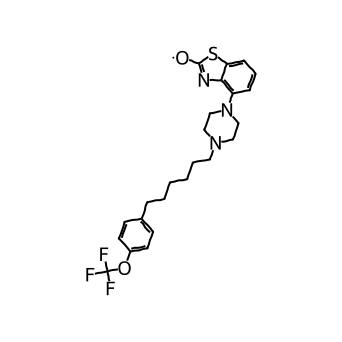 [O]c1nc2c(N3CCN(CCCCCCc4ccc(OC(F)(F)F)cc4)CC3)cccc2s1